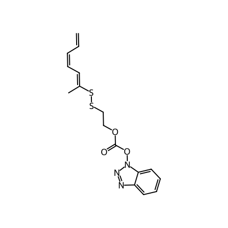 C=C/C=C\C=C(/C)SSCCOC(=O)On1nnc2ccccc21